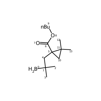 BC(C)(C)CC1(C(=O)OCCCC)CC1(C)C